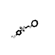 Cc1ccc(S(=O)(=O)OCCOC2CCC=CCCC2)cc1